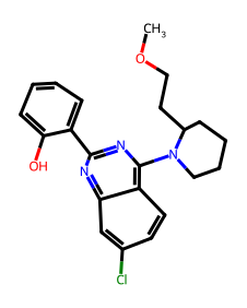 COCCC1CCCCN1c1nc(-c2ccccc2O)nc2cc(Cl)ccc12